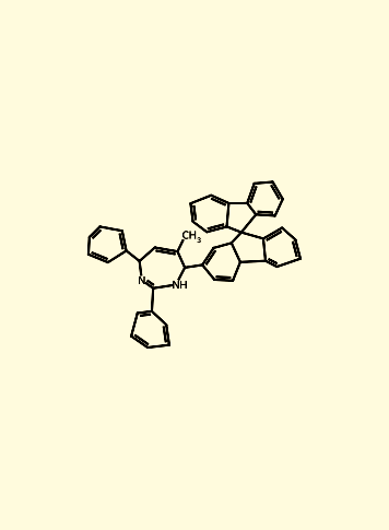 CC1=CC(c2ccccc2)N=C(c2ccccc2)NC1C1=CC2C(C=C1)c1ccccc1C21c2ccccc2-c2ccccc21